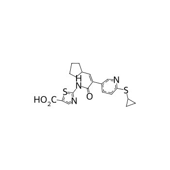 O=C(Nc1ncc(C(=O)O)s1)C(=CC1CCCC1)c1ccc(SC2CC2)nc1